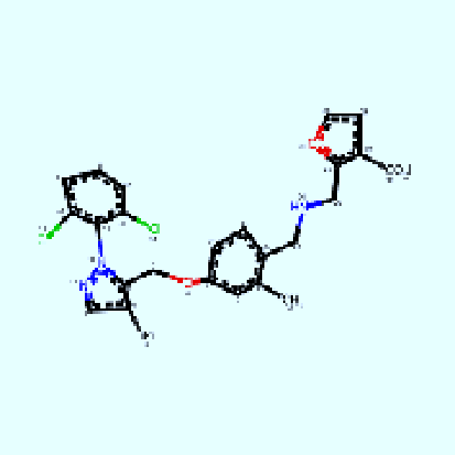 Cc1cc(OCc2c(C(C)C)cnn2-c2c(Cl)cccc2Cl)ccc1CNCc1occc1C(=O)O